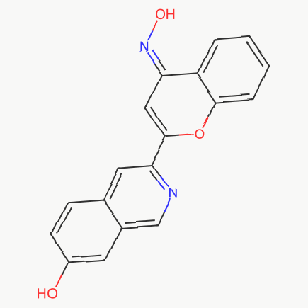 O/N=c1/cc(-c2cc3ccc(O)cc3cn2)oc2ccccc12